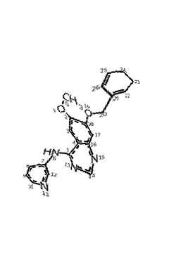 COc1cc2c(Nc3cccnc3)ncnc2cc1OCC1=CC[CH]C=C1